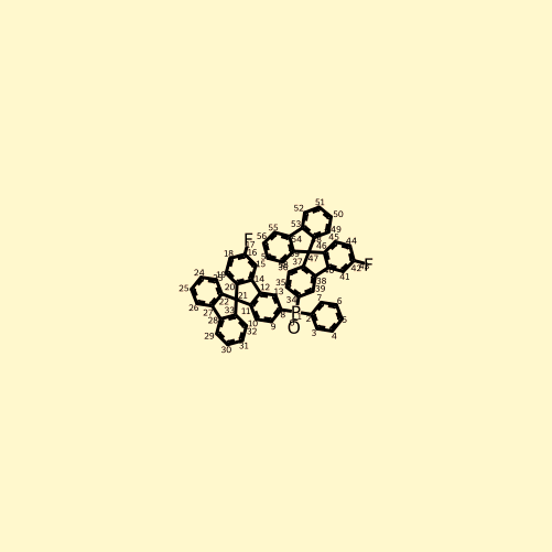 O=P(c1ccccc1)(c1ccc2c(c1)-c1cc(F)ccc1C21c2ccccc2-c2ccccc21)c1ccc2c(c1)-c1cc(F)ccc1C21c2ccccc2-c2ccccc21